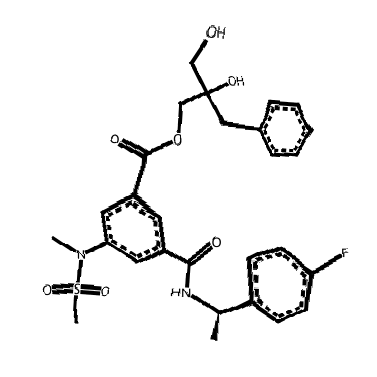 C[C@@H](NC(=O)c1cc(C(=O)OCC(O)(CO)Cc2ccccc2)cc(N(C)S(C)(=O)=O)c1)c1ccc(F)cc1